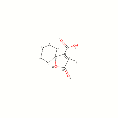 CC1=C(C(=O)O)C2(CCCCC2)OC1=O